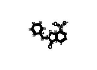 O=C1c2cccc([N+](=O)[O-])c2CN1Cc1ccccc1